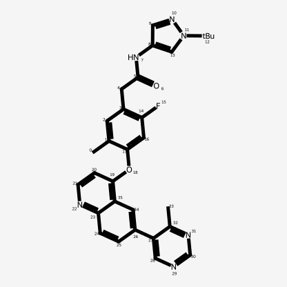 Cc1cc(CC(=O)Nc2cnn(C(C)(C)C)c2)c(F)cc1Oc1ccnc2ccc(-c3cncnc3C)cc12